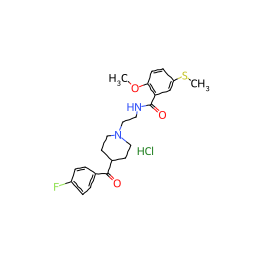 COc1ccc(SC)cc1C(=O)NCCN1CCC(C(=O)c2ccc(F)cc2)CC1.Cl